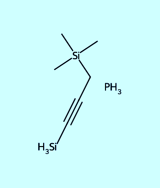 C[Si](C)(C)CC#C[SiH3].P